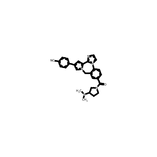 CN(C)C1CCN(C(=O)c2ccc3c(c2)Cn2cc(-c4ccc(C#N)cc4)cc2-c2nccn2-3)C1